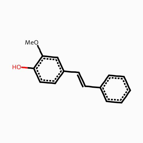 COc1cc(C=Cc2ccccc2)ccc1O